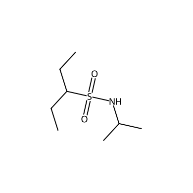 CCC(CC)S(=O)(=O)NC(C)C